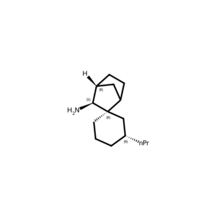 CCC[C@@H]1CCC[C@@]2(C1)C1CC[C@H](C1)[C@@H]2N